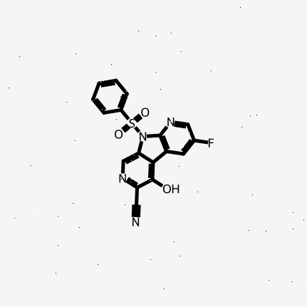 N#Cc1ncc2c(c1O)c1cc(F)cnc1n2S(=O)(=O)c1ccccc1